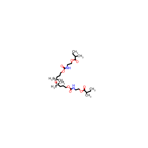 CCC(C)C(=O)OCCNC(=O)OCCC[Si](C)(C)O[Si](C)(C)CCCOC(=O)NCCOC(=O)C(C)CC